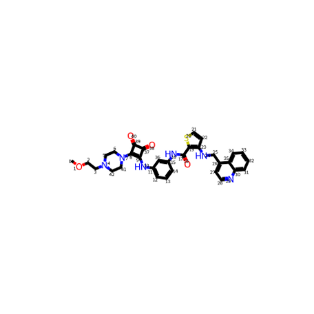 COCCN1CCN(c2c(Nc3cccc(NC(=O)c4sccc4NCc4ccnc5ccccc45)c3)c(=O)c2=O)CC1